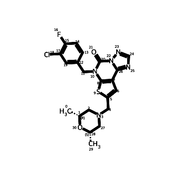 C[C@@H]1CN(Cc2cc3c(s2)n(Cc2ccc(F)c(Cl)c2)c(=O)n2ncnc32)C[C@H](C)O1